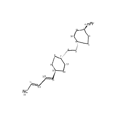 CCC[C@H]1CC[C@H](CC[C@H]2CC[C@H](C=CC=CC#N)CC2)CC1